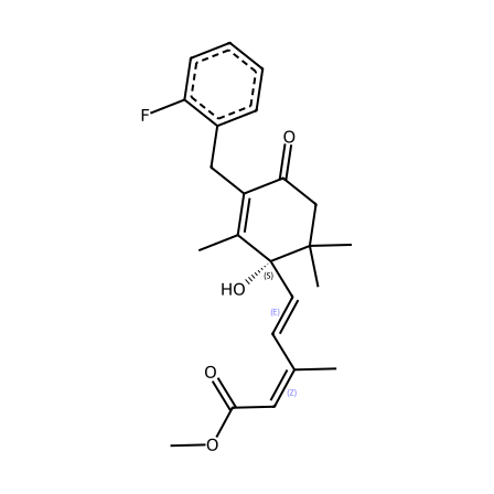 COC(=O)/C=C(C)\C=C\[C@@]1(O)C(C)=C(Cc2ccccc2F)C(=O)CC1(C)C